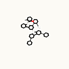 Cc1cccc(C)c1-n1c2ccccc2c2cc(-n3c4ccc(-c5ccccc5)cc4c4cc(-c5ccccc5)ccc43)cc(-c3c(C#N)cccc3C#N)c21